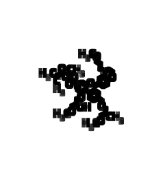 COCCCN1CCOc2ccc(CO[C@H]3CN(C(=O)OC(C)OC(=O)C(C)C)C[C@@H](OCC(O)COC)[C@@H]3c3ccc(COCC(C)COC)cc3)cc21